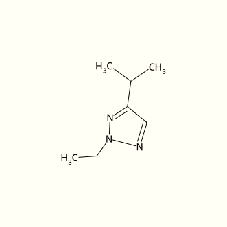 CCn1ncc(C(C)C)n1